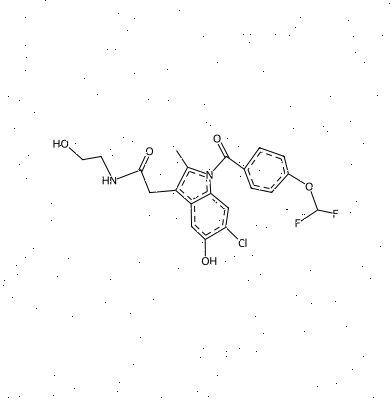 Cc1c(CC(=O)NCCO)c2cc(O)c(Cl)cc2n1C(=O)c1ccc(OC(F)F)cc1